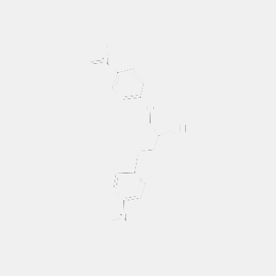 C[C](COc1ccc([N+](=O)[O-])cc1)COc1ccc([N+](=O)[O-])cc1